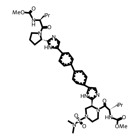 COC(=O)N[C@H](C(=O)N1CCC[C@H]1c1ncc(-c2ccc(-c3ccc(-c4cnc([C@@H]5CN(S(=O)(=O)N(C)C)CCN5C(=O)[C@@H](NC(=O)OC)C(C)C)[nH]4)cc3)cc2)[nH]1)C(C)C